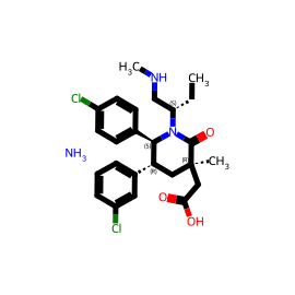 CC[C@@H](CNC)N1C(=O)[C@@](C)(CC(=O)O)C[C@H](c2cccc(Cl)c2)[C@H]1c1ccc(Cl)cc1.N